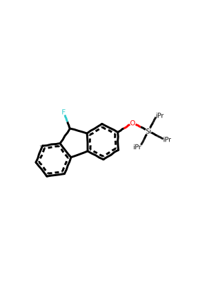 CC(C)[Si](Oc1ccc2c(c1)C(F)c1[c]cccc1-2)(C(C)C)C(C)C